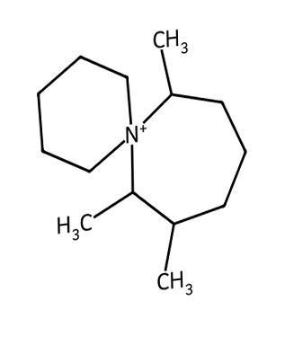 CC1CCCC(C)[N+]2(CCCCC2)C1C